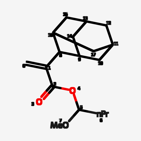 C=C(C(=O)OC(CCC)OC)C1C2CC3CC(C2)CC1C3